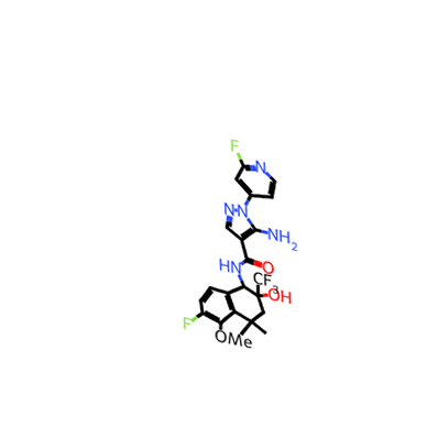 COc1c(F)ccc2c1C(C)(C)CC(O)(C(F)(F)F)C2NC(=O)c1cnn(-c2ccnc(F)c2)c1N